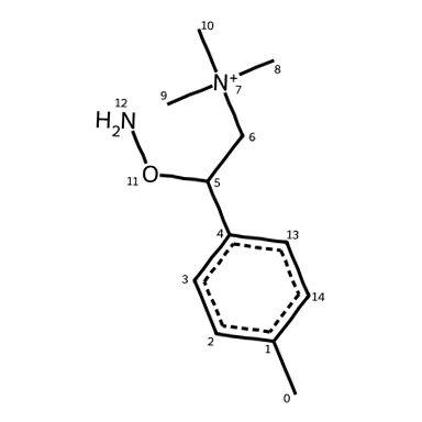 Cc1ccc(C(C[N+](C)(C)C)ON)cc1